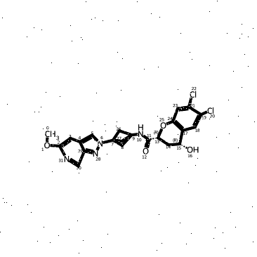 COc1cc2cn(C34CC(NC(=O)[C@H]5C[C@@H](O)c6cc(Cl)c(Cl)cc6O5)(C3)C4)nc2cn1